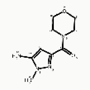 Cn1nc(C(=O)N2CCOCC2)cc1N